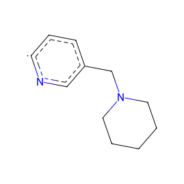 [c]1ccc(CN2CCCCC2)cn1